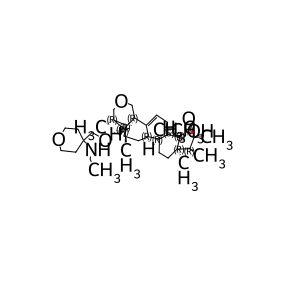 CCNC1(CO[C@H]2[C@H](C)C[C@@]34COC[C@@]2(C)[C@@H]3CC[C@H]2C4=CC[C@@]3(C)[C@H](C(=O)O)[C@@](C)([C@H](C)C(C)C)CC[C@]23C)CCOCC1